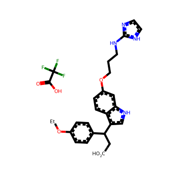 CCOc1ccc(C(CC(=O)O)c2c[nH]c3cc(OCCCNc4ncc[nH]4)ccc23)cc1.O=C(O)C(F)(F)F